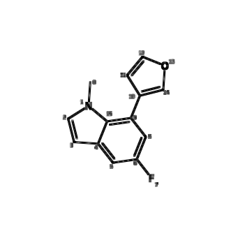 Cn1ccc2cc(F)cc(-c3ccoc3)c21